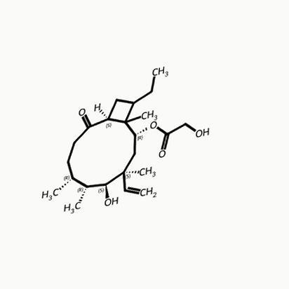 C=C[C@]1(C)C[C@@H](OC(=O)CO)C2(C)C(CC)C[C@@H]2C(=O)CC[C@@H](C)[C@@H](C)[C@@H]1O